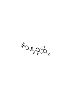 CC1(c2cc(F)cc(Oc3c(Cl)ccc(C(=O)NCC4CCN(S(C)(=O)=O)CC4)c3Cl)c2)CC1